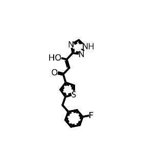 O=C(C=C(O)c1nc[nH]n1)c1csc(Cc2cccc(F)c2)c1